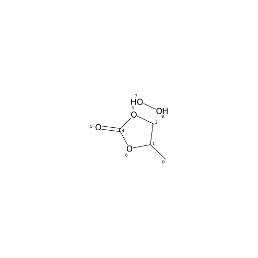 CC1COC(=O)O1.OO